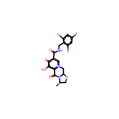 C[C@@H]1CSC2Cn3cc(C(=O)NCc4c(F)cc(F)cc4F)c(=O)c(O)c3C(=O)N21